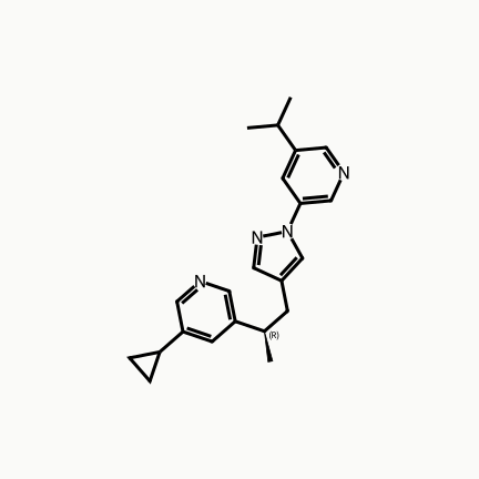 CC(C)c1cncc(-n2cc(C[C@@H](C)c3cncc(C4CC4)c3)cn2)c1